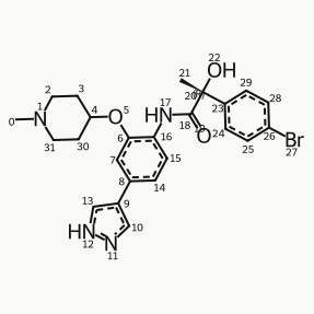 CN1CCC(Oc2cc(-c3cn[nH]c3)ccc2NC(=O)[C@](C)(O)c2ccc(Br)cc2)CC1